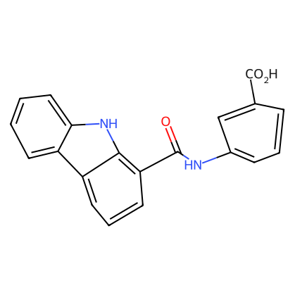 O=C(O)c1cccc(NC(=O)c2cccc3c2[nH]c2ccccc23)c1